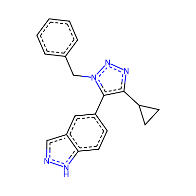 c1ccc(Cn2nnc(C3CC3)c2-c2ccc3[nH]ncc3c2)cc1